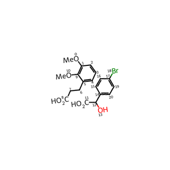 COc1cccc(CCC(=O)O)c1OC.O=C(O)C(O)c1ccc(Br)cc1